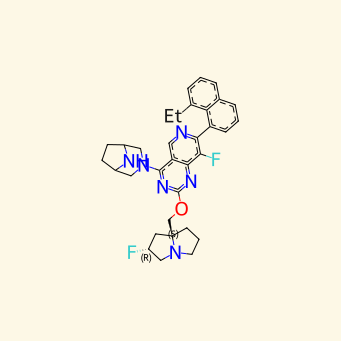 CCc1cccc2cccc(-c3ncc4c(N5CC6CCC(C5)N6)nc(OC[C@@]56CCCN5C[C@H](F)C6)nc4c3F)c12